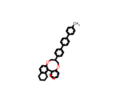 Cc1ccc(-c2ccc(-c3ccc(C4COc5ccc6c(c5-c5c(ccc7c5CCCC7)OC4)CCCC6)cc3)cc2)cc1